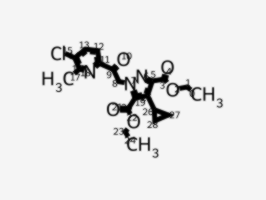 CCOC(=O)c1nn(CC(=O)c2ccc(Cl)c(C)n2)c(C(=O)OCC)c1C1CC1